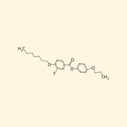 CCCCCCCOc1ccc(C(=O)Oc2ccc(OCCC)cc2)cc1F